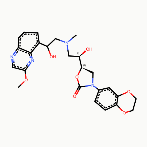 COc1cnc2cccc(C(O)CN(C)C[C@@H](O)[C@H]3CN(c4ccc5c(c4)OCCO5)C(=O)O3)c2n1